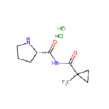 Cl.Cl.O=C(NC(=O)C1(C(F)(F)F)CC1)[C@@H]1CCCN1